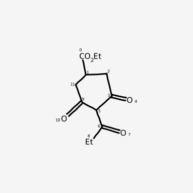 CCOC(=O)C1CC(=O)C(C(=O)CC)C(=O)C1